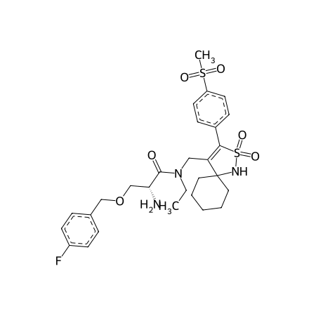 CCN(CC1=C(c2ccc(S(C)(=O)=O)cc2)S(=O)(=O)NC12CCCCC2)C(=O)[C@H](N)COCc1ccc(F)cc1